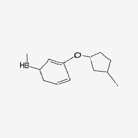 CBC1C=C(OC2CCC(C)C2)C=CC1